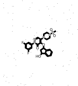 CS(=O)(=O)N1CCN(c2cnn(-c3cc(F)cc(F)c3)c(=O)c2OC2CC(O)c3ccccc32)CC1